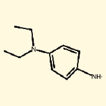 CCN(CC)c1ccc([NH])cc1